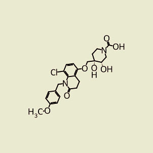 COc1ccc(CN2C(=O)CCc3c(OC[C@@]4(O)CCN(C(=O)O)C[C@@H]4O)ccc(Cl)c32)cc1